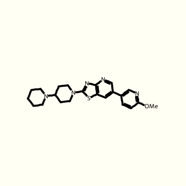 COc1ccc(-c2cnc3nc(N4CCC(N5CCCCC5)CC4)sc3c2)cn1